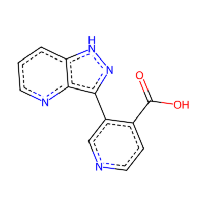 O=C(O)c1ccncc1-c1n[nH]c2cccnc12